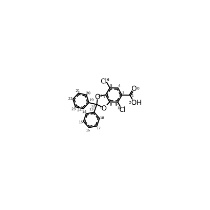 O=C(O)c1cc(Cl)c2c(c1Cl)OC(c1ccccc1)(c1ccccc1)O2